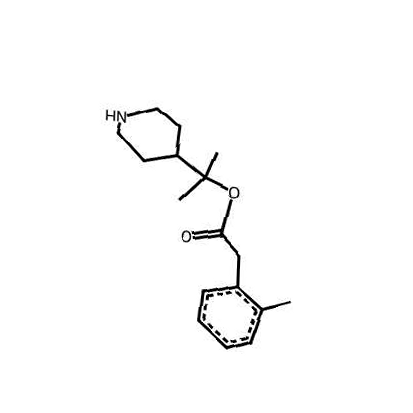 Cc1ccccc1CC(=O)OC(C)(C)C1CCNCC1